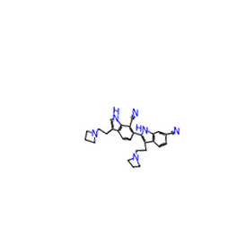 N#Cc1ccc2c(CCN3CCC3)c(-c3ccc4c(CCN5CCC5)c[nH]c4c3C#N)[nH]c2c1